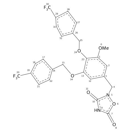 COc1cc(Cn2oc(=O)[nH]c2=O)cc(OCc2ccc(C(F)(F)F)cc2)c1OCc1ccc(C(F)(F)F)cc1